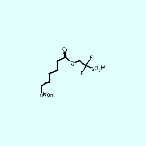 CCCCCCCCCCCCCCC(=O)OCC(F)(F)S(=O)(=O)O